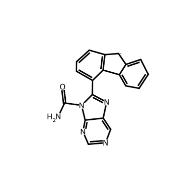 NC(=O)n1c(-c2cccc3c2-c2ccccc2[CH]3)nc2cncnc21